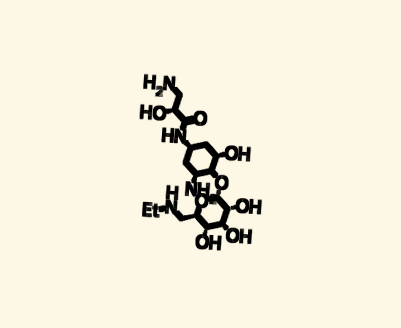 CCNC[C@H]1O[C@H](OC2[C@H](O)C[C@H](NC(=O)[C@@H](O)CN)C[C@@H]2N)[C@H](O)[C@@H](O)[C@@H]1O